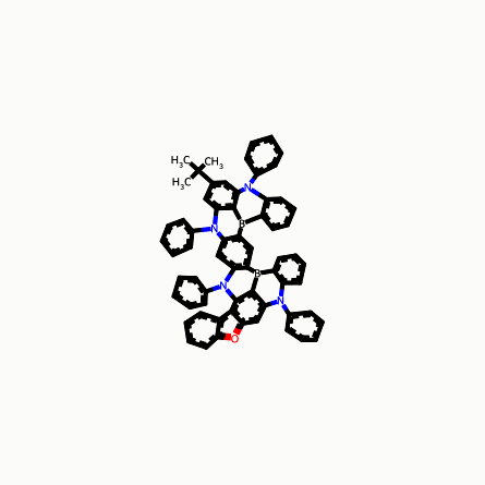 CC(C)(C)c1cc2c3c(c1)N(c1ccccc1)c1cc4c(cc1B3c1ccccc1N2c1ccccc1)B1c2ccccc2N(c2ccccc2)c2cc3oc5ccccc5c3c(c21)N4c1ccccc1